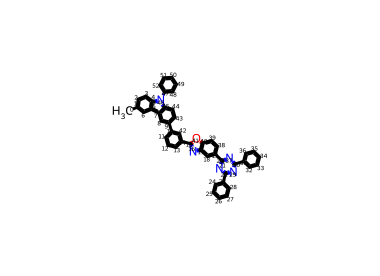 Cc1ccc2c(c1)c1cc(-c3cccc(-c4nc5cc(-c6nc(-c7ccccc7)nc(-c7ccccc7)n6)ccc5o4)c3)ccc1n2-c1ccccc1